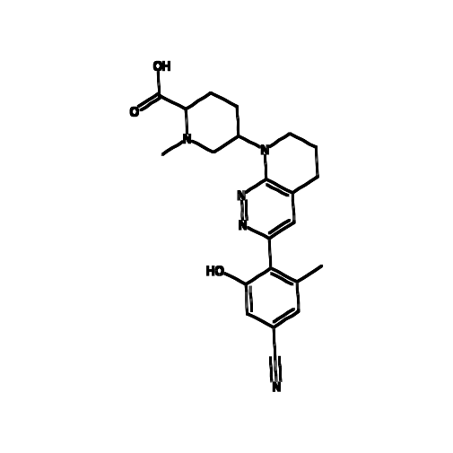 Cc1cc(C#N)cc(O)c1-c1cc2c(nn1)N(C1CCC(C(=O)O)N(C)C1)CCC2